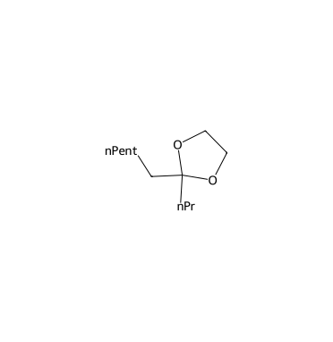 CCCCCCC1(CCC)OCCO1